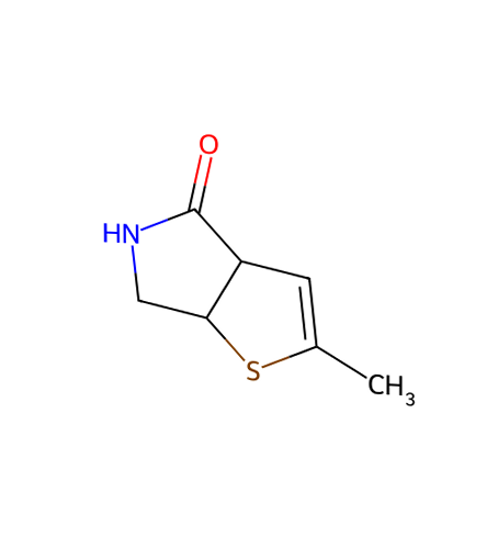 CC1=CC2C(=O)NCC2S1